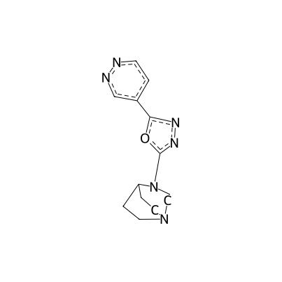 c1cc(-c2nnc(N3CCN4CCC3CC4)o2)cnn1